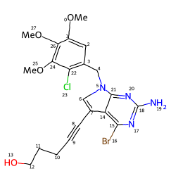 COc1cc(Cn2cc(C#CCCCO)c3c(Br)nc(N)nc32)c(Cl)c(OC)c1OC